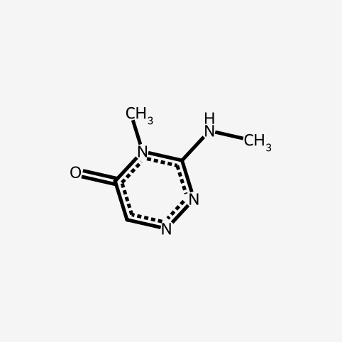 CNc1nncc(=O)n1C